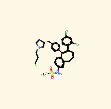 CS(=O)(=O)Nc1ccc2c(c1)CCCC(c1ccc(Cl)cc1Cl)=C2c1ccc(C[C@H]2CCN(CCCF)C2)cc1